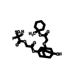 CC1(OC(=O)COC23CC4CC(O)(C2)CC(OC(=O)COC(=O)C(F)(F)S(=O)(=O)O)(C4)C3)CCCCC1